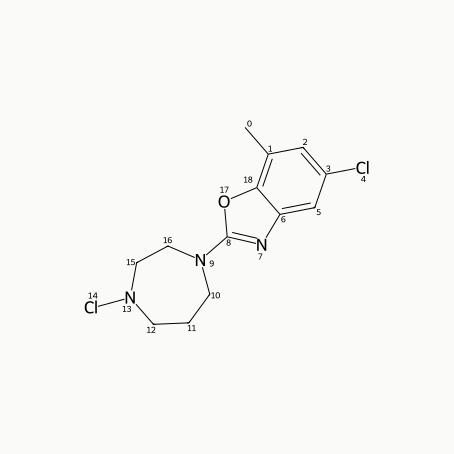 Cc1cc(Cl)cc2nc(N3CCCN(Cl)CC3)oc12